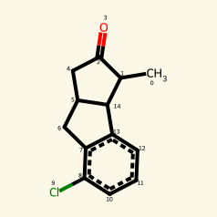 CC1C(=O)CC2Cc3c(Cl)cccc3C21